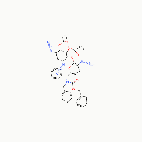 CC(=O)O[C@H]1[C@H](O[C@H]2O[C@H]([C@@H](c3ccccc3)N(Cc3ccccc3)C(=O)OCc3ccccc3)CCC2N=[N+]=[N-])C(N=[N+]=[N-])CC(N=[N+]=[N-])[C@@H]1OC(C)=O